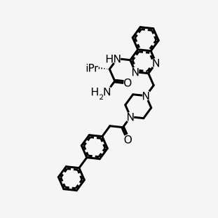 CC(C)[C@H](Nc1nc(CN2CCN(C(=O)Cc3ccc(-c4ccccc4)cc3)CC2)nc2ccccc12)C(N)=O